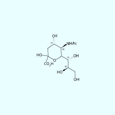 CC(=O)N[C@H]1C([C@H](O)[C@H](O)CO)OC(O)(C(=O)O)C[C@@H]1O